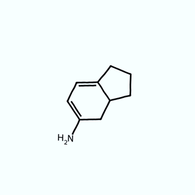 NC1=CC=C2CCCC2C1